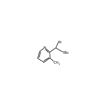 Cc1cccnc1C(C(C)C)C(C)(C)C